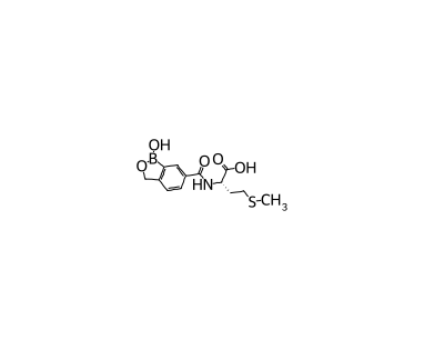 CSCC[C@H](NC(=O)c1ccc2c(c1)B(O)OC2)C(=O)O